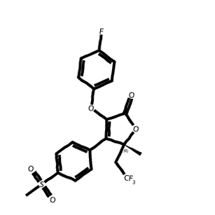 C[C@]1(CC(F)(F)F)OC(=O)C(Oc2ccc(F)cc2)=C1c1ccc(S(C)(=O)=O)cc1